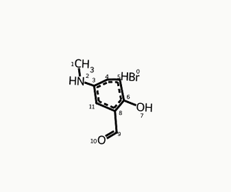 Br.CNc1ccc(O)c(C=O)c1